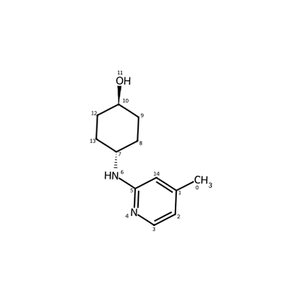 Cc1ccnc(N[C@H]2CC[C@H](O)CC2)c1